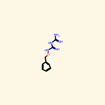 N=C(N)NC(=N)NOCc1ccccc1